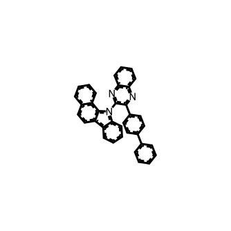 c1ccc(-c2ccc(-c3nc4ccccc4nc3-n3c4ccccc4c4ccc5ccccc5c43)cc2)cc1